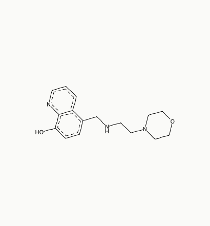 Oc1ccc(CNCCN2CCOCC2)c2cccnc12